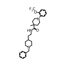 CC1(C(=O)NCCC2CCN(Cc3ccccc3)CC2)CCN(c2ccccc2OC(F)(F)F)CC1